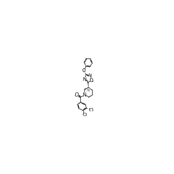 O=C(c1ccc(Cl)c(Cl)c1)N1CCC[C@H](c2nc(Oc3ccccc3)no2)C1